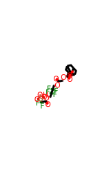 O=C(COC(=O)C12CC3CC(C1)C(=O)C(C3)C2)OCC(F)(F)C(F)(F)COC(=O)C(F)(F)S(=O)(=O)O